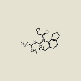 CCc1ccc2c(c1N(COC(C)C)C(=O)CCl)CCC2